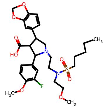 CCCCCS(=O)(=O)N(CCOC)CCN1CC(c2ccc3c(c2)OCO3)C(C(=O)O)C1c1ccc(OC)c(F)c1